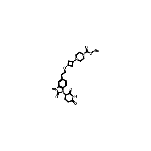 Cn1c(=O)n(C2CCC(=O)NC2=O)c2ccc(CCO[C@H]3C[C@H](N4CCN(C(=O)OC(C)(C)C)CC4)C3)cc21